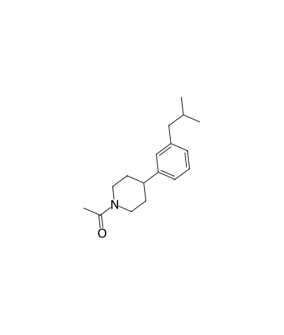 CC(=O)N1CCC(c2cccc(CC(C)C)c2)CC1